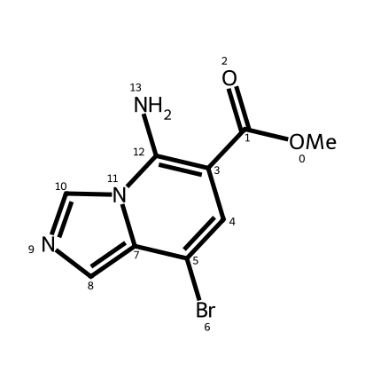 COC(=O)c1cc(Br)c2cncn2c1N